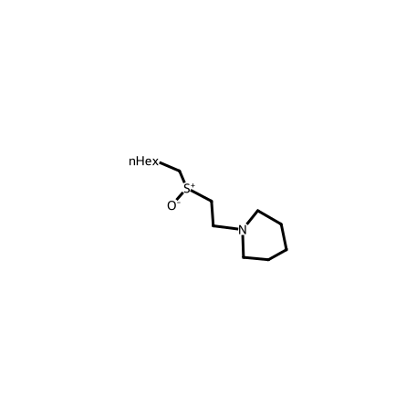 CCCCCCC[S+]([O-])CCN1CCCCC1